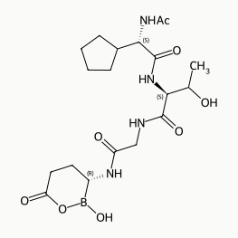 CC(=O)N[C@H](C(=O)N[C@H](C(=O)NCC(=O)N[C@H]1CCC(=O)OB1O)C(C)O)C1CCCC1